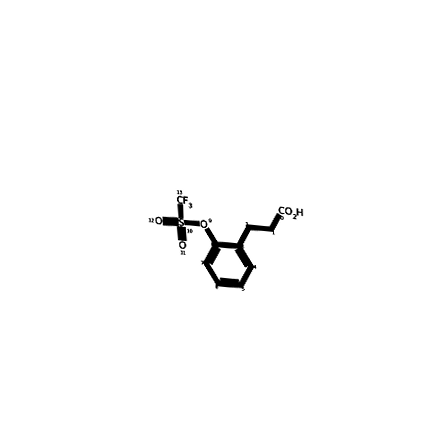 O=C(O)CCc1ccccc1OS(=O)(=O)C(F)(F)F